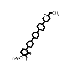 C=CC1CCC(C2CCC(C3CCC(C4CCC(c5ccc(OCCC)c(F)c5F)CC4)CC3)CC2)CO1